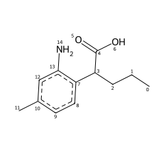 CCCC(C(=O)O)c1ccc(C)cc1N